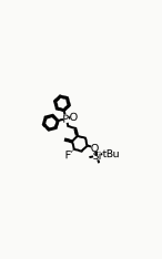 C=C1/C(=C\CP(=O)(c2ccccc2)c2ccccc2)CC(O[Si](C)(C)C(C)(C)C)C[C@@H]1F